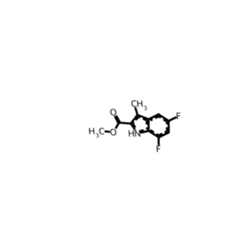 COC(=O)c1[nH]c2c(F)cc(F)cc2c1C